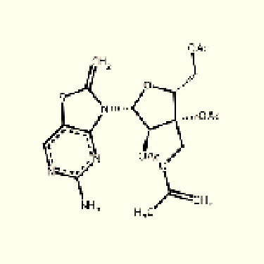 C=C(C)OC[C@]1(OC(C)=O)[C@@H](COC(C)=O)O[C@@H](N2C(=C)Sc3cnc(N)nc32)[C@@H]1OC(C)=O